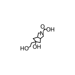 O=C(O)N1CC2CC(O)(CCO)CC2C1